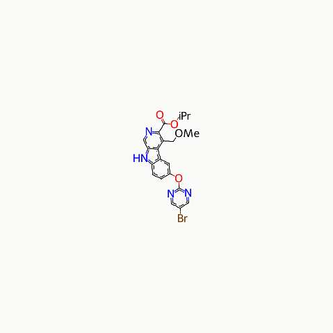 COCc1c(C(=O)OC(C)C)ncc2[nH]c3ccc(Oc4ncc(Br)cn4)cc3c12